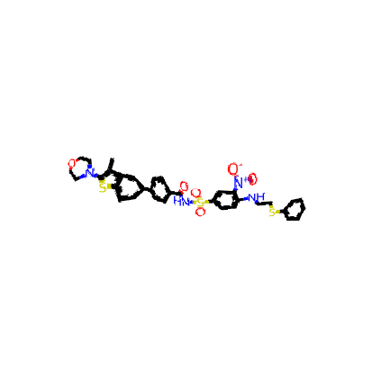 Cc1c(N2CCOCC2)sc2ccc(-c3ccc(C(=O)NS(=O)(=O)c4ccc(NCCSc5ccccc5)c([N+](=O)[O-])c4)cc3)cc12